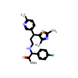 CNC(=O)C(NCCC(c1ccc(C(F)(F)F)nc1)c1sc(C)nc1C)c1ccc(F)cc1